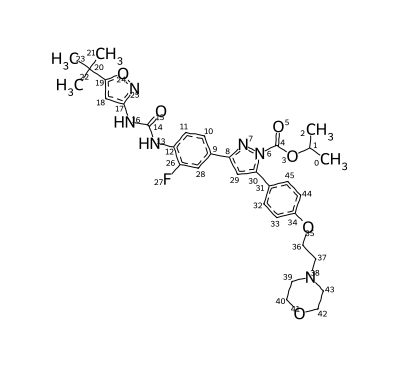 CC(C)OC(=O)n1nc(-c2ccc(NC(=O)Nc3cc(C(C)(C)C)on3)c(F)c2)cc1-c1ccc(OCCN2CCOCC2)cc1